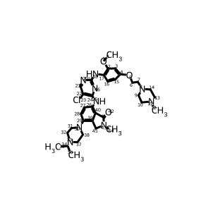 COc1cc(OCCN2CCN(C)CC2)ccc1Nc1ncc(Cl)c(Nc2ccc(N3CCN(C(C)C)CC3)c3c2C(=O)N(C)C3)n1